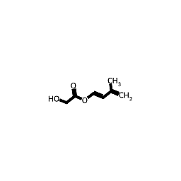 C=C(C)C=COC(=O)CO